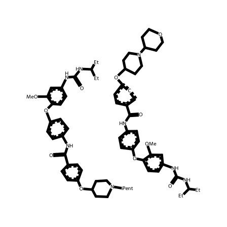 CCC(CC)NC(=O)Nc1ccc(Oc2ccc(NC(=O)c3ccc(OC4CCN(C5CCOCC5)CC4)cc3)cc2)c(OC)c1.CCCC(C)N1CCC(Oc2ccc(C(=O)Nc3ccc(Oc4ccc(NC(=O)NC(CC)CC)cc4OC)cc3)cc2)CC1